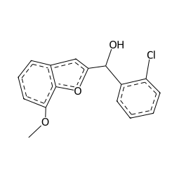 COc1cccc2cc(C(O)c3ccccc3Cl)oc12